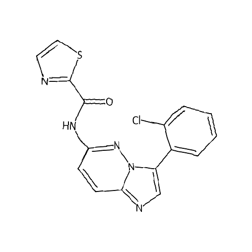 O=C(Nc1ccc2ncc(-c3ccccc3Cl)n2n1)c1nccs1